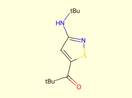 CC(C)(C)Nc1cc(C(=O)C(C)(C)C)sn1